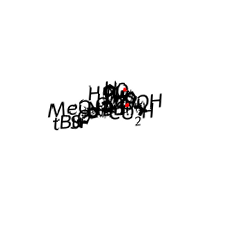 C=C(C)[C@@H](O)C[C@@H]1CC[C@@H](C)C(O[Si](C)(C)C(C)(C)C)(C(=O)C(=O)N2CCCC[C@H]2C(=O)N[C@@H](C(=O)O)[C@H](C)C[C@@H]2CCC(O[Si](C)(C)C(C)(C)C)[C@H](OC)N2)O1